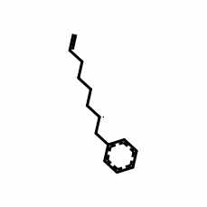 C=CCCCC[CH]Cc1ccccc1